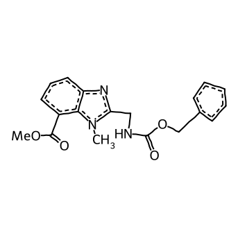 COC(=O)c1cccc2nc(CNC(=O)OCc3ccccc3)n(C)c12